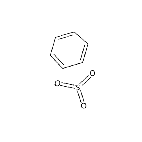 O=S(=O)=O.c1ccccc1